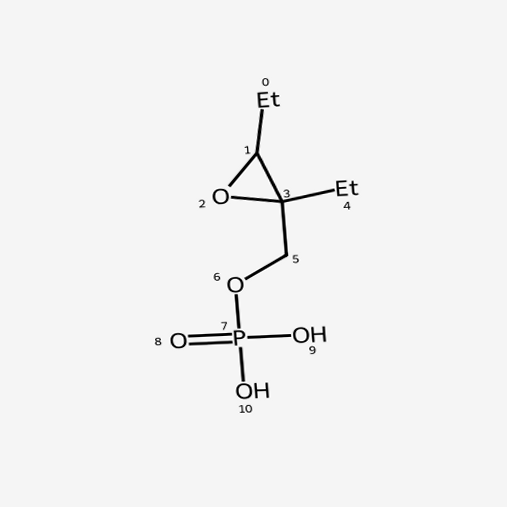 CCC1OC1(CC)COP(=O)(O)O